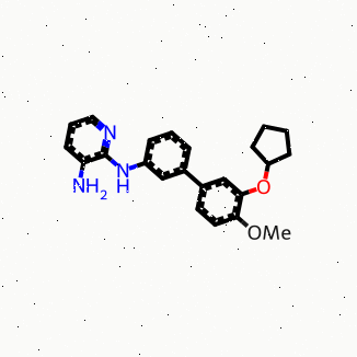 COc1ccc(-c2cccc(Nc3ncccc3N)c2)cc1OC1CCCC1